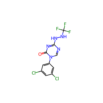 O=c1nc(NNC(F)(F)F)ncn1-c1cc(Cl)cc(Cl)c1